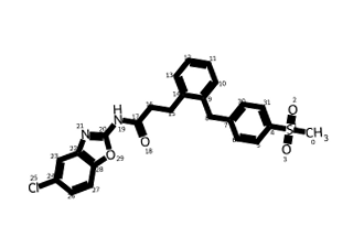 CS(=O)(=O)c1ccc(Cc2ccccc2CCC(=O)Nc2nc3cc(Cl)ccc3o2)cc1